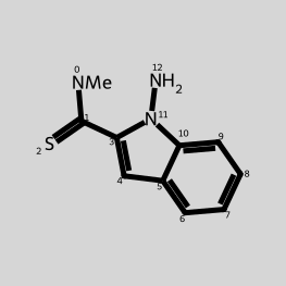 CNC(=S)c1cc2ccccc2n1N